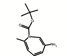 CC1=CC=CC(N)=CN1C(=O)OC(C)(C)C